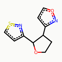 c1cc(C2CCO[C]2c2ccsn2)no1